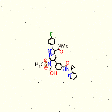 CNC(=O)c1c(-c2ccc(F)cc2)nn2cc(N(CCO)S(C)(=O)=O)c(-c3cccc(C(=O)NC4(c5ccccn5)CC4)c3)cc12